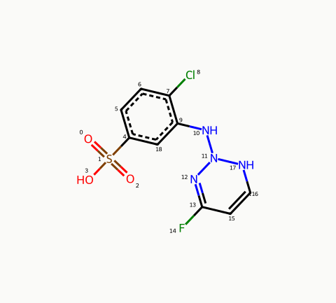 O=S(=O)(O)c1ccc(Cl)c(NN2N=C(F)C=[C]N2)c1